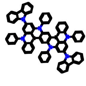 c1ccc(N2c3ccccc3B3c4cc5c(cc4N(c4ccccc4)c4cc(-n6c7ccccc7c7ccccc76)cc2c43)B2c3ccccc3N(c3ccccc3)c3cc(-n4c6ccccc6c6ccccc64)cc(c32)N5c2ccccc2)cc1